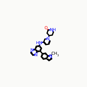 Cn1ccc2ccc(-c3cc(NC4=CC=CN(C5CCNC(=O)C5)C4)cc4nccnc34)cc21